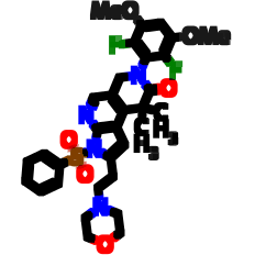 COc1cc(OC)c(F)c(N2Cc3cnc4c(cc(CCN5CCOCC5)n4S(=O)(=O)c4ccccc4)c3C(C)(C)C2=O)c1F